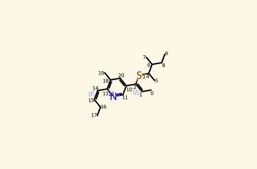 C/C=C(\SC(C)C(C)CC)c1cnc(/C=C\CC)c(C)c1